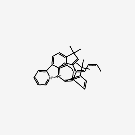 C=C1CC[N+]23c4c(ccc(C(C)(C)C)c4Oc4c(C(C)(C)C)ccc(c42)-c2cccc[n+]23)/C1=C/C=C\C